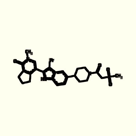 CC(C)c1c(-c2cn(C)c(=O)c3c2CCC3)[nH]c2ccc(C3CCN(C(=O)CS(C)(=O)=O)CC3)cc12